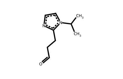 CC(C)n1ccnc1CCC=O